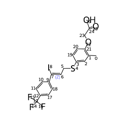 Cc1cc(SC/C=C(\I)c2ccc(C(F)(F)F)cc2)ccc1OCC(=O)O